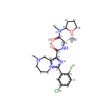 CN1CCCn2c(-c3cc(Cl)ccc3F)nc(C(=O)N[C@H](C(=O)N(C)C3CCCO3)C(C)(C)C)c2C1